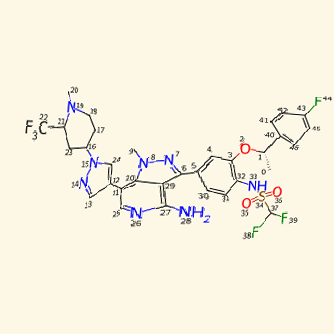 C[C@H](Oc1cc(-c2nn(C)c3c(-c4cnn(C5CCN(C)C(C(F)(F)F)C5)c4)cnc(N)c23)ccc1NS(=O)(=O)C(F)F)c1ccc(F)cc1